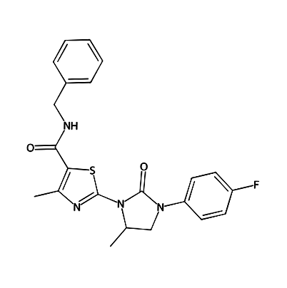 Cc1nc(N2C(=O)N(c3ccc(F)cc3)CC2C)sc1C(=O)NCc1ccccc1